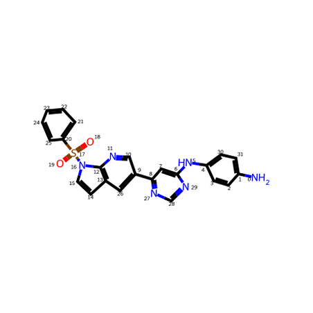 Nc1ccc(Nc2cc(-c3cnc4c(ccn4S(=O)(=O)c4ccccc4)c3)ncn2)cc1